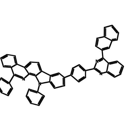 c1ccc(-c2nc3c(ccc4c5cc(-c6ccc(-c7nc(-c8ccc9ccccc9c8)c8ccccc8n7)cc6)ccc5n(-c5ccccc5)c43)c3ccccc23)cc1